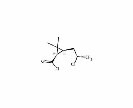 CC1(C)[C@H](C(=O)Cl)[C@@H]1CC(Cl)C(F)(F)F